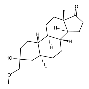 COC[C@@]1(O)CC[C@H]2[C@@H](CC[C@@H]3[C@@H]2CC[C@]2(C)C(=O)CC[C@@H]32)C1